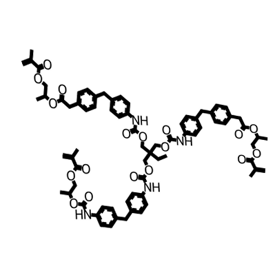 C=C(C)C(=O)OCC(C)OC(=O)Cc1ccc(Cc2ccc(NC(=O)OCC(CC)(COC(=O)Nc3ccc(Cc4ccc(CC(=O)OC(C)COC(=O)C(=C)C)cc4)cc3)COC(=O)Nc3ccc(Cc4ccc(NC(=O)OC(C)COC(=O)C(=C)C)cc4)cc3)cc2)cc1